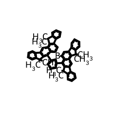 CC1(C)c2ccccc2-c2cc3c4c(cc5c3c(c21)-c1cccc2c1B5c1cc3c(c5cc6c(c-2c15)C(C)(C)c1ccccc1-6)C(C)(C)c1ccccc1-3)-c1ccccc1C4(C)C